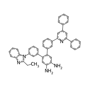 CCc1nc2ccccc2n1-c1cccc(-c2cc(N)c(N)cc2-c2cccc(-c3cc(-c4ccccc4)cc(-c4ccccc4)n3)c2)c1